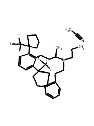 CC#N.CCCN(CCc1ccccc1)C(C)CCc1c(C2(C(F)(F)F)CCCC2)cccc1C1(C(F)(F)F)CCCC1